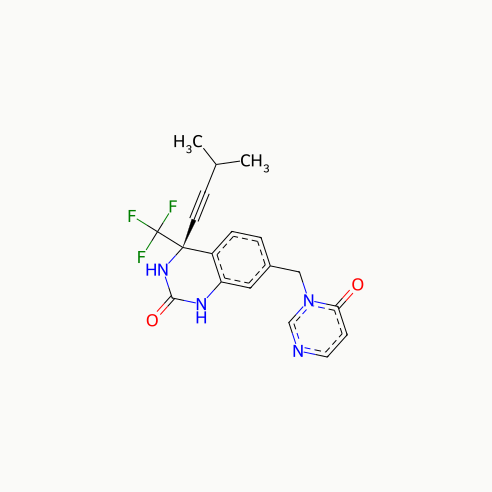 CC(C)C#C[C@]1(C(F)(F)F)NC(=O)Nc2cc(Cn3cnccc3=O)ccc21